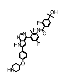 Cc1c(NC(=O)c2ccc(C(C)(C)O)cc2F)cc(F)cc1-c1ncnc2[nH]c(-c3ccc(OC4CCNCC4)cc3)cc12